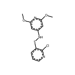 COc1cc(NSc2cccnc2Cl)cc(OC)n1